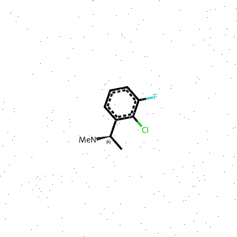 CN[C@H](C)c1cccc(F)c1Cl